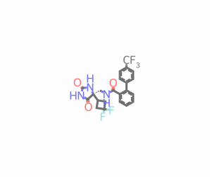 O=C1NC(=O)[C@](CNC(=O)c2ccccc2-c2ccc(C(F)(F)F)cc2)(C2CC(F)(F)C2)N1